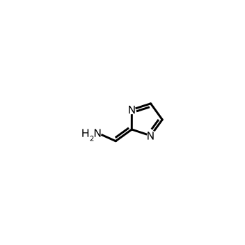 NC=C1N=CC=N1